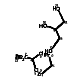 CC(C)[CH2][Zn].O=C(O)C(Cl)Cl.OCC(O)CO.[Zn]